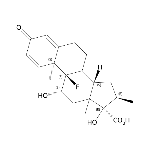 C[C@@H]1C[C@H]2C3CCC4=CC(=O)C=C[C@]4(C)[C@@]3(F)[C@@H](O)CC2(C)[C@@]1(O)C(=O)O